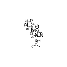 CC(C)SCc1ncc(C(=O)N(C)c2cccnc2)n1C